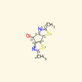 Cc1nc2c(s1)-c1sc(C)nc1C2=O